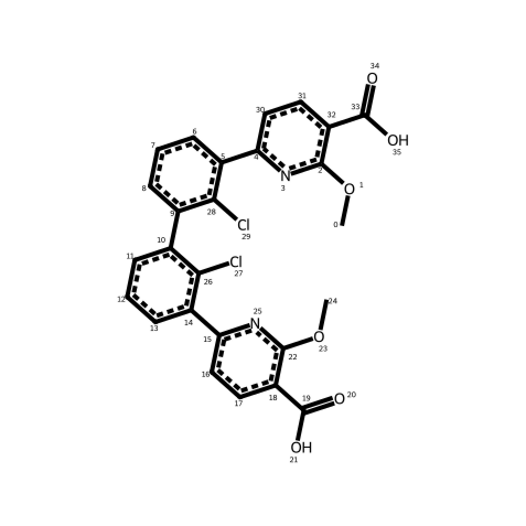 COc1nc(-c2cccc(-c3cccc(-c4ccc(C(=O)O)c(OC)n4)c3Cl)c2Cl)ccc1C(=O)O